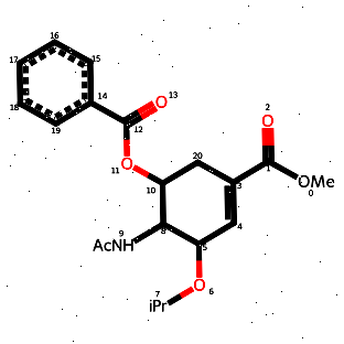 COC(=O)C1=CC(OC(C)C)C(NC(C)=O)C(OC(=O)c2ccccc2)C1